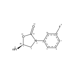 CC[CH][C@@H]1CN(c2cccc(F)c2)C(=O)O1